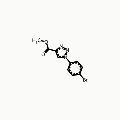 COC(=O)c1cn(-c2ccc(Br)cc2)nn1